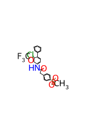 CS(=O)(=O)c1ccc(CC(=O)NC2=CC=C(c3ccccc3)C(Cl)(OC(F)(F)F)C2)cc1